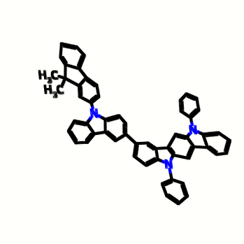 CC1(C)c2ccccc2-c2ccc(-n3c4ccccc4c4cc(-c5ccc6c(c5)c5cc7c(cc5n6-c5ccccc5)c5ccccc5n7-c5ccccc5)ccc43)cc21